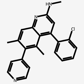 CNc1cc(-c2ccccc2Cl)c2c(C)c(-c3ccncc3)c(C)cc2n1